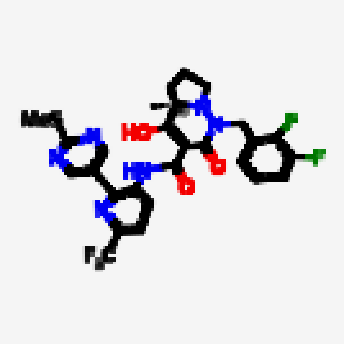 CSc1ncc(-c2nc(C(F)(F)F)ccc2NC(=O)C2=C(O)[C@@]3(C)CCCN3N(Cc3cccc(F)c3F)C2=O)cn1